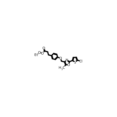 CCOOC(=O)CCc1ccc(OCc2nc(-c3ccc(Cl)s3)oc2C)cc1